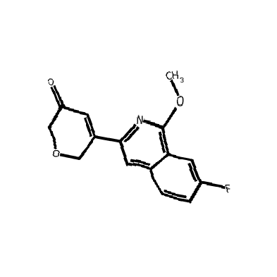 COc1nc(C2=CC(=O)COC2)cc2ccc(F)cc12